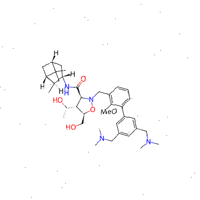 COc1c(CN2O[C@@H](CO)[C@H]([C@H](C)O)[C@H]2C(=O)N[C@H]2C[C@H]3C[C@@H]([C@@H]2C)C3(C)C)cccc1-c1cc(CN(C)C)cc(CN(C)C)c1